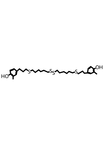 Cc1cc(CCCSCCCCCCSSCCCCCCSCCCc2ccc(O)c(C)c2)ccc1O